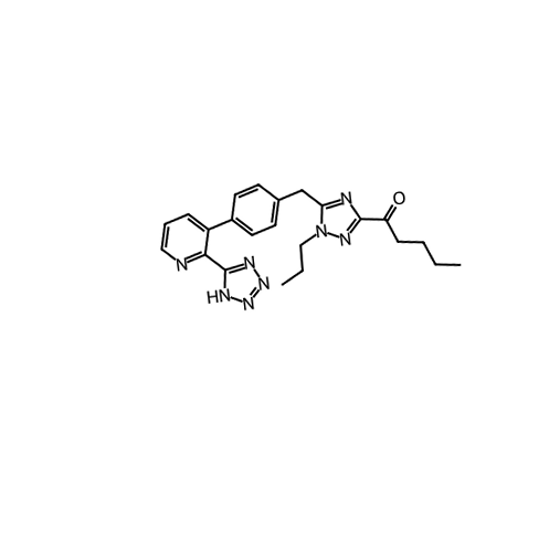 CCCCC(=O)c1nc(Cc2ccc(-c3cccnc3-c3nnn[nH]3)cc2)n(CCC)n1